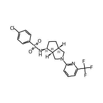 O=S(=O)(N[C@H]1CC[C@@H]2CN(c3cccc(C(F)(F)F)n3)C[C@@H]21)c1ccc(Cl)cc1